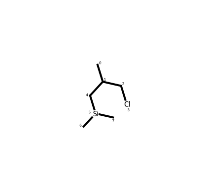 CC(CCl)C[Si](C)C